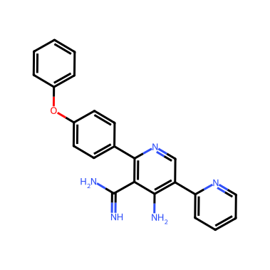 N=C(N)c1c(-c2ccc(Oc3ccccc3)cc2)ncc(-c2ccccn2)c1N